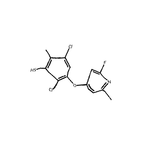 Cc1cc(Oc2cc(Cl)c(C)c(S)c2Cl)cc(F)n1